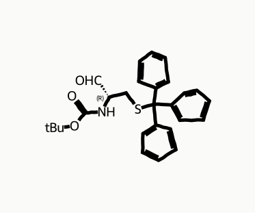 CC(C)(C)OC(=O)N[C@H](C=O)CSC(c1ccccc1)(c1ccccc1)c1ccccc1